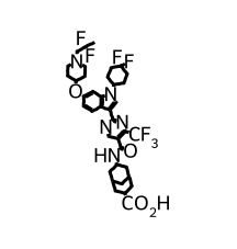 CC(F)(F)CN1CCC(Oc2ccc3c(-c4ncc(C(=O)NC5CC6CC(C5)CC(C(=O)O)C6)c(C(F)(F)F)n4)cn(C4CCC(F)(F)CC4)c3c2)CC1